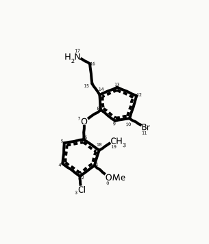 COc1c(Cl)ccc(Oc2cc(Br)ccc2CCN)c1C